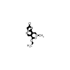 CCOC(=O)c1cnn2cc(Cl)nc2c1COC